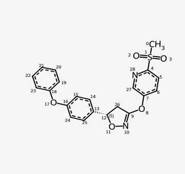 CS(=O)(=O)c1ccc(OC2=NO[C@H](c3ccc(Oc4ccccc4)cc3)C2)cn1